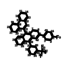 Fc1ccc(-c2ccc3c(-c4cc5ccccc5c5ccccc45)c4ccccc4c(-c4cccc(C(F)(F)F)c4)c3c2)cc1